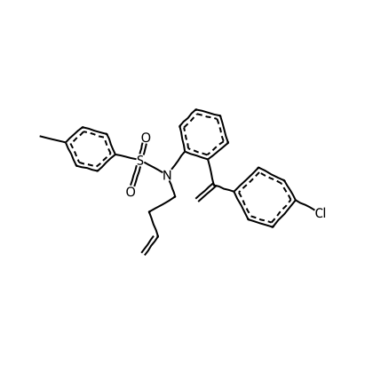 C=CCCN(c1ccccc1C(=C)c1ccc(Cl)cc1)S(=O)(=O)c1ccc(C)cc1